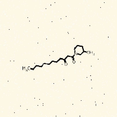 CCCCCCCCCC(=O)CC(=O)N1CCCC(C)C1